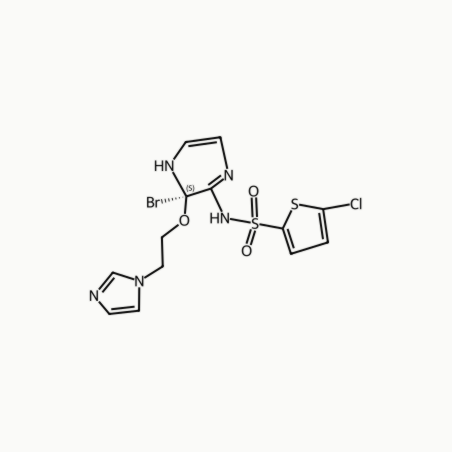 O=S(=O)(NC1=NC=CN[C@]1(Br)OCCn1ccnc1)c1ccc(Cl)s1